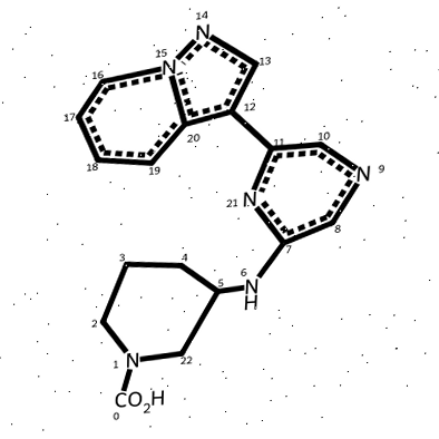 O=C(O)N1CCCC(Nc2cncc(-c3cnn4ccccc34)n2)C1